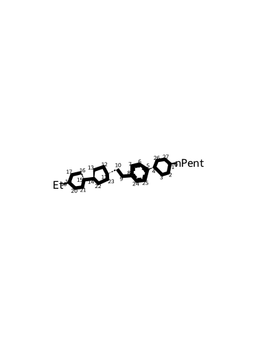 CCCCC[C@H]1CC[C@H](c2ccc(CC[C@H]3CC[C@H]([C@H]4CC[C@H](CC)CC4)CC3)cc2)CC1